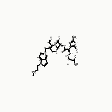 CNCCn1ccc2c[n+](CC3=C(C=O)N4C(=O)C(NC(=O)/C(=N\O[C@@H](C)C(=O)O)c5nc(N)sc5Cl)C4SC3)ccc21